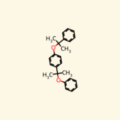 CC(C)(Oc1ccc(C(C)(C)Oc2ccccc2)cc1)c1ccccc1